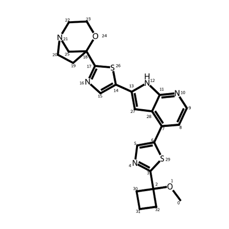 COC1(c2ncc(-c3ccnc4[nH]c(-c5cnc(C67CCN(CCO6)C7)s5)cc34)s2)CCC1